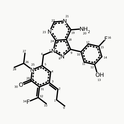 CC/C=c1/cc(Cn2nc(-c3cc(O)cc(F)c3)c3c(N)ncnc32)n(C(C)C)c(=O)/c1=C(/C)F